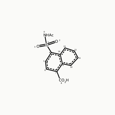 CC(=O)NS(=O)(=O)c1ccc(C(=O)O)c2ccccc12